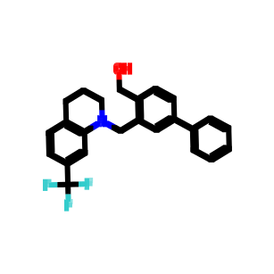 OCc1ccc(-c2ccccc2)cc1CN1CCCc2ccc(C(F)(F)F)cc21